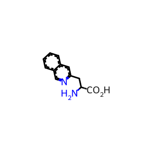 NC(Cc1cc2ccccc2cn1)C(=O)O